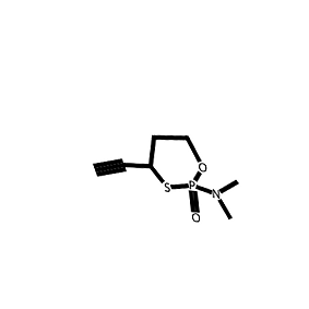 C#CC1CCOP(=O)(N(C)C)S1